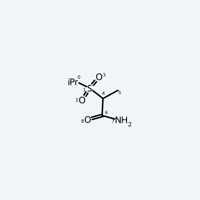 CC(C)S(=O)(=O)C(C)C(N)=O